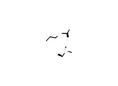 CCCOC(C)=O.CN(C)C=O